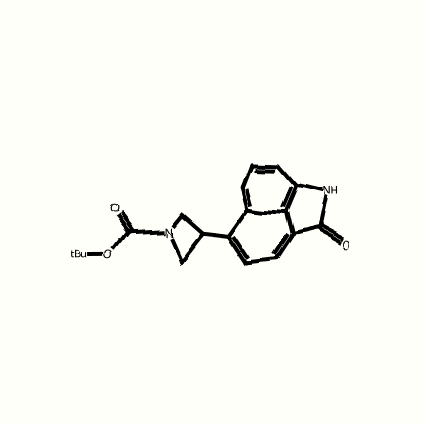 CC(C)(C)OC(=O)N1CC(c2ccc3c4c(cccc24)NC3=O)C1